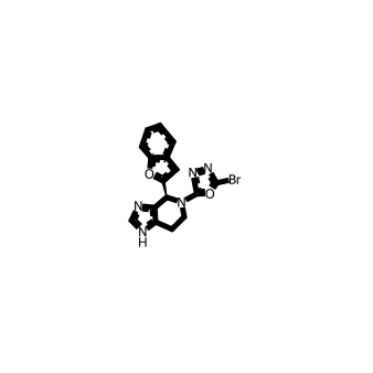 Brc1nnc(N2CCc3[nH]cnc3[C@H]2c2cc3ccccc3o2)o1